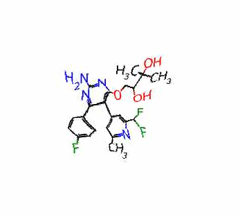 Cc1cc(-c2c(OCC(O)C(C)(C)O)nc(N)nc2-c2ccc(F)cc2)cc(C(F)F)n1